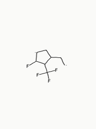 [CH2]CC1C[CH]C(F)C1C(F)(F)F